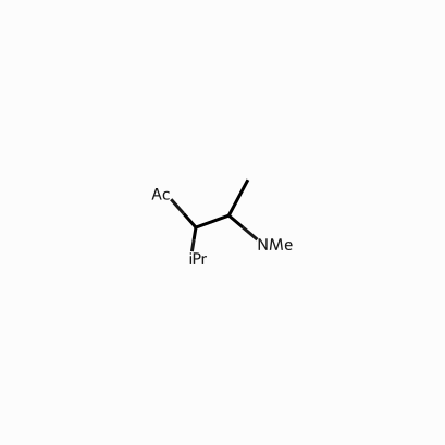 CNC(C)C(C(C)=O)C(C)C